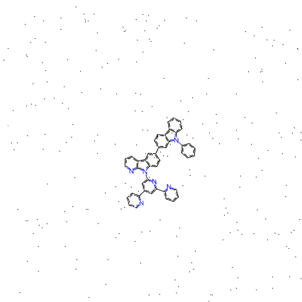 c1ccc(-n2c3ccccc3c3ccc(-c4ccc5c(c4)c4cccnc4n5-c4cc(-c5ccccn5)cc(-c5ccccn5)n4)cc32)cc1